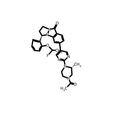 CC(=O)N1CCN(c2ncc(-c3ccc4c(=O)n5n(c4c3)[C@@H](c3ccccc3OC(C)F)CC5)cn2)[C@H](C)C1